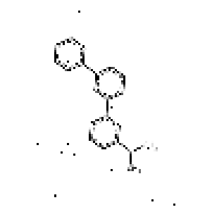 CC(C)c1cccc(-c2cccc(-c3ccccc3)c2)c1